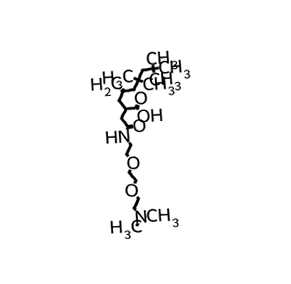 C=C(CC(CC(=O)NCCOCCOCCN(C)C)C(=O)O)CC(C)(C)CC(C)(C)C